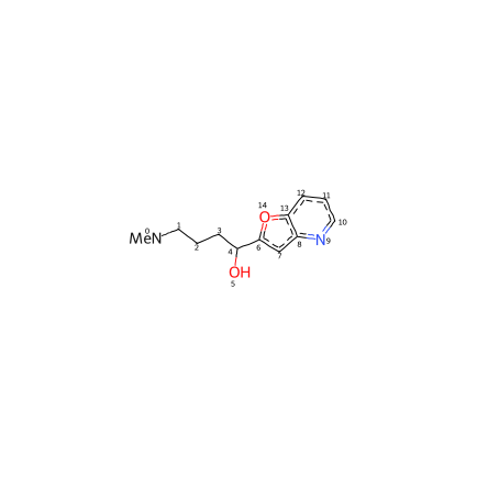 CNCCCC(O)c1cc2ncccc2o1